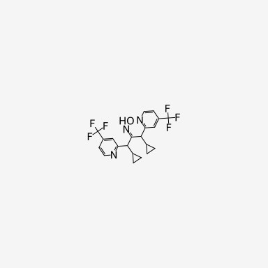 ON=C(C(c1cc(C(F)(F)F)ccn1)C1CC1)C(c1cc(C(F)(F)F)ccn1)C1CC1